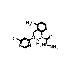 Cc1cccc(N(N)C(=O)NN)c1COc1cc(Cl)ncn1